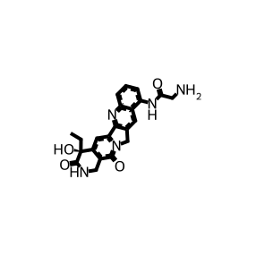 CC[C@@]1(O)C(=O)NCc2c1cc1n(c2=O)Cc2cc3c(NC(=O)CN)cccc3nc2-1